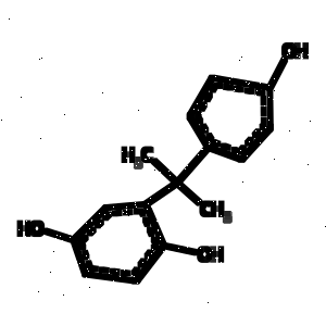 CC(C)(c1ccc(O)cc1)c1cc(O)ccc1O